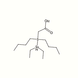 CCCC[S](CCCC)(CC(=O)O)[SnH]([CH2]C)[CH2]C